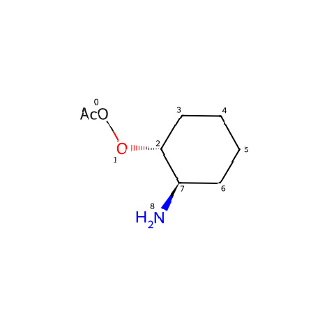 CC(=O)OO[C@@H]1CCCC[C@H]1N